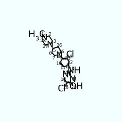 CN1CCN(C2CCN(c3ccc(Nc4ncc(Cl)c(O)n4)cc3Cl)CC2)CC1